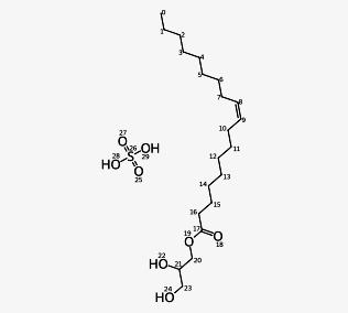 CCCCCCCC/C=C\CCCCCCCC(=O)OCC(O)CO.O=S(=O)(O)O